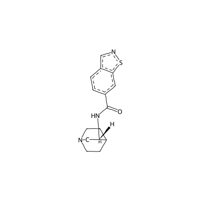 O=C(N[C@H]1CN2CCC1CC2)c1ccc2cnsc2c1